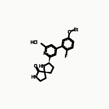 CCOc1ccc(F)c(-c2cc(C)nc([C@@H]3CC[C@]4(CCNC4=O)N3)c2)c1.Cl